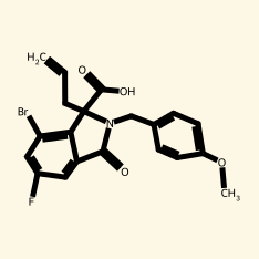 C=CCC1(C(=O)O)c2c(Br)cc(F)cc2C(=O)N1Cc1ccc(OC)cc1